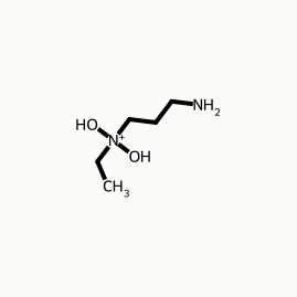 CC[N+](O)(O)CCCN